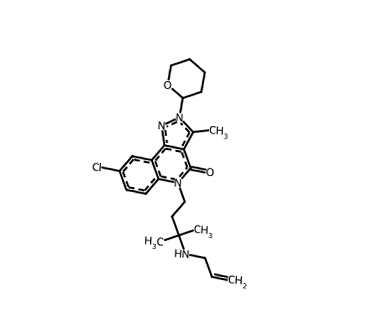 C=CCNC(C)(C)CCn1c(=O)c2c(C)n(C3CCCCO3)nc2c2cc(Cl)ccc21